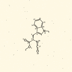 COC(=O)[C@@H](Cc1cn(C)c2ccccc12)N=C=O